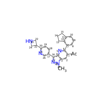 CC(=O)c1cc2c(nc1-c1cccc3c1CCC3)c(-c1ccc(C3CNC3)nc1)nn2C